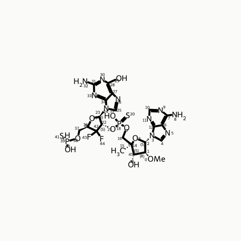 CO[C@H]1[C@@H](n2cnc3c(N)ncnc32)O[C@](C)(COP(O)(=S)O[C@H]2[C@H](n3cnc4c(O)nc(N)nc43)O[C@H](CO[PH](O)=S)C2(F)F)[C@H]1O